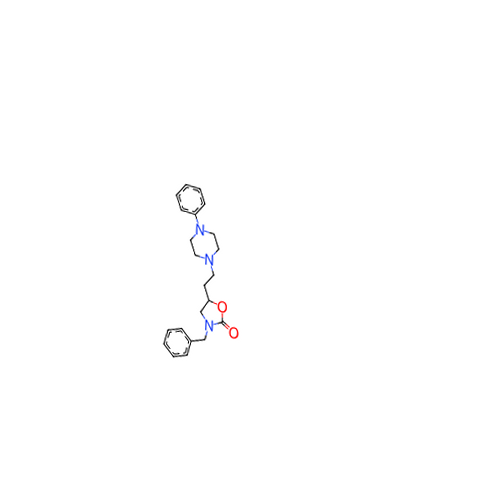 O=C1OC(CCN2CCN(c3ccccc3)CC2)CN1Cc1ccccc1